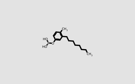 CCCCCCCCc1cc(OB(O)O)ccc1C